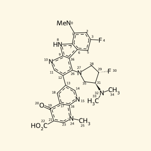 CNc1cc(F)cc2c1[nH]c1ncc(-c3cnc4c(c3)c(=O)c(C(=O)O)cn4C)c(N3C[C@H](F)[C@@H](N(C)C)C3)c12